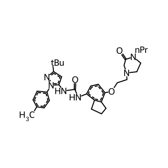 CCCN1CCN(CCOc2ccc(NC(=O)Nc3cc(C(C)(C)C)nn3-c3ccc(C)cc3)c3c2CCC3)CC1=O